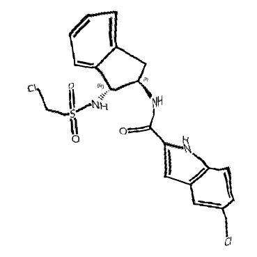 O=C(N[C@@H]1Cc2ccccc2[C@H]1NS(=O)(=O)CCl)c1cc2cc(Cl)ccc2[nH]1